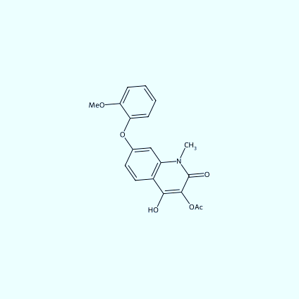 COc1ccccc1Oc1ccc2c(O)c(OC(C)=O)c(=O)n(C)c2c1